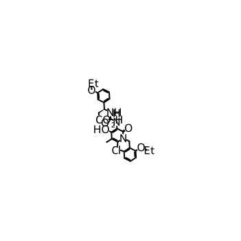 CCOc1cccc([C@H](CC(=O)O)NC(=O)Nc2c(O)c(C)c(C)n(Cc3c(Cl)cccc3OCC)c2=O)c1